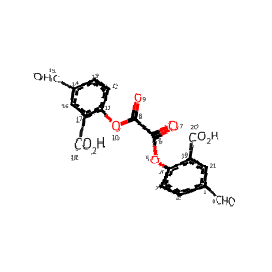 O=Cc1ccc(OC(=O)C(=O)Oc2ccc(C=O)cc2C(=O)O)c(C(=O)O)c1